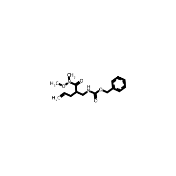 C=CCC(CNC(=O)OCc1ccccc1)C(=O)N(C)OC